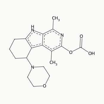 Cc1nc(OC(=O)O)c(C)c2c3c([nH]c12)CCCC3N1CCOCC1